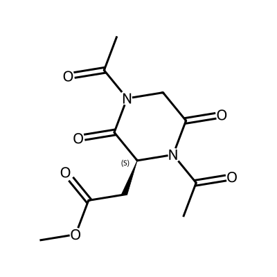 COC(=O)C[C@H]1C(=O)N(C(C)=O)CC(=O)N1C(C)=O